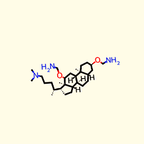 C[C@H](CCCN(C)C)[C@H]1CC[C@H]2[C@@H]3CC[C@@H]4C[C@H](OCN)CC[C@]4(C)[C@H]3C[C@H](OCN)[C@]12C